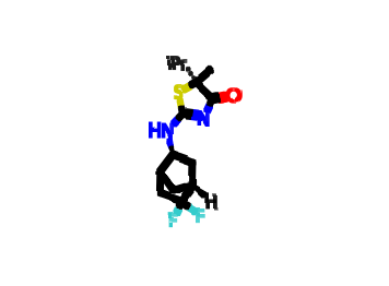 CC(C)[C@@]1(C)SC(N[C@H]2C[C@H]3CC2CC3(F)F)=NC1=O